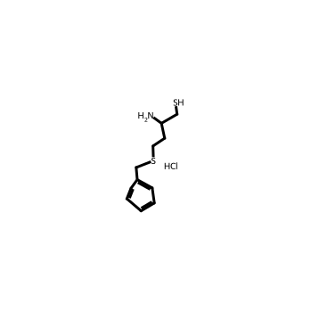 Cl.NC(CS)CCSCc1ccccc1